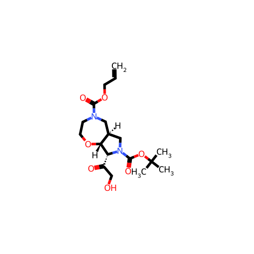 C=CCOC(=O)N1CCO[C@@H]2[C@@H](C1)CN(C(=O)OC(C)(C)C)[C@@H]2C(=O)CO